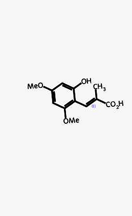 COc1cc(O)c(/C=C(\C)C(=O)O)c(OC)c1